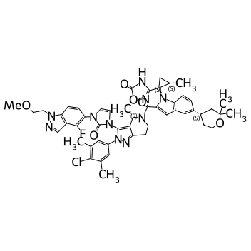 COCCn1ncc2c(F)c(-n3ccn(-c4c5c(nn4-c4cc(C)c(Cl)c(C)c4)CCN(C(=O)c4cc6cc([C@H]7CCOC(C)(C)C7)ccc6n4[C@@]4(c6noc(=O)[nH]6)C[C@@H]4C)[C@H]5C)c3=O)ccc21